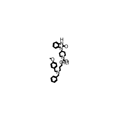 COc1ccc(CN(CCCOC(=O)N2CCC(n3c(=O)[nH]c4ccccc43)CC2)Cc2ccccc2)cc1.Cl